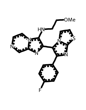 COCCNc1c(-c2c(-c3ccc(F)cc3)nc3sccn23)nc2cnccn12